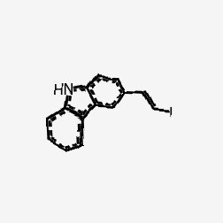 IC=Cc1ccc2[nH]c3ccccc3c2c1